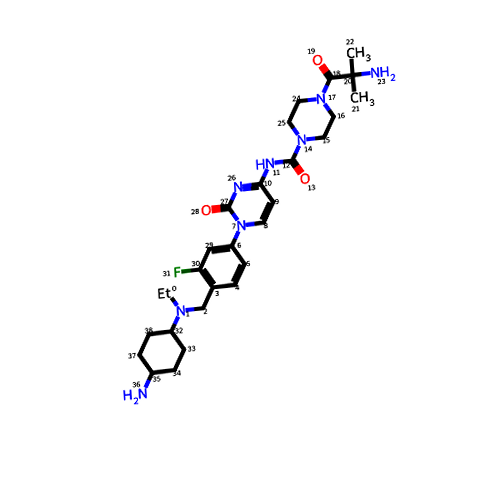 CCN(Cc1ccc(-n2ccc(NC(=O)N3CCN(C(=O)C(C)(C)N)CC3)nc2=O)cc1F)C1CCC(N)CC1